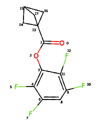 O=C(Oc1c(F)c(F)cc(F)c1F)C12CC(C1)C2